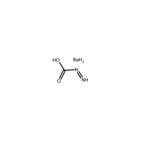 N=NC(=O)O.[BaH2]